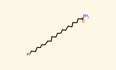 CC(C)CCCCCCCCCCCCCCCCCCCC(N)=O